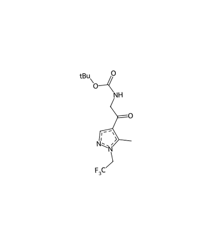 Cc1c(C(=O)CNC(=O)OC(C)(C)C)cnn1CC(F)(F)F